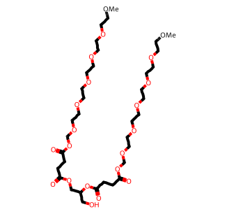 COCCOCCOCCOCCOCCOCOC(=O)CCC(=O)OCC(CO)OC(=O)CCC(=O)OCOCCOCCOCCOCCOCCOC